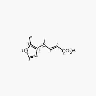 Cc1occc1S/C=C/C(=O)O